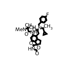 CNC(C)(C)C(=O)Nc1ccc2c(c1CC(=O)N(Cc1ccc(F)cc1)[C@@H](C)C1CC1)CCC21OC(=O)NC1=O